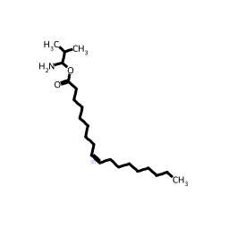 CCCCCCCC/C=C\CCCCCCCC(=O)OC(N)C(C)C